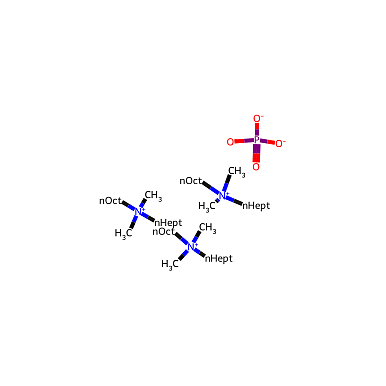 CCCCCCCC[N+](C)(C)CCCCCCC.CCCCCCCC[N+](C)(C)CCCCCCC.CCCCCCCC[N+](C)(C)CCCCCCC.O=P([O-])([O-])[O-]